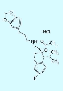 CC(=O)O[C@@]1(CCNCCCc2ccc3c(c2)OCO3)CCc2cc(F)ccc2[C@H]1C(C)C.Cl